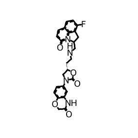 O=C1COc2ccc(N3C[C@H](CCNCC4Cc5c(F)ccc6ccc(=O)n4c56)OC3=O)cc2N1